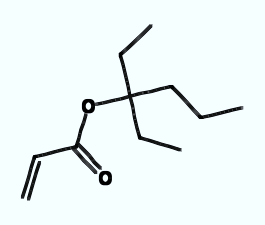 C=CC(=O)OC(CC)(CC)CCC